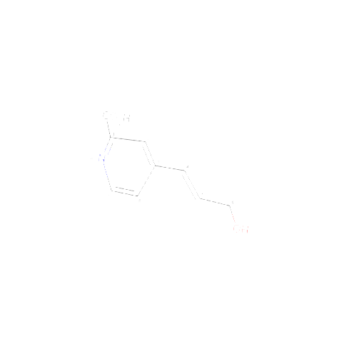 O=C(O)c1cc(C=CCO)ccn1